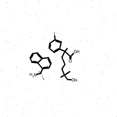 CC(C)(CO)CCCC(C)(C(=O)O)c1cccc(I)c1.C[C@H](N)c1cccc2ccccc12